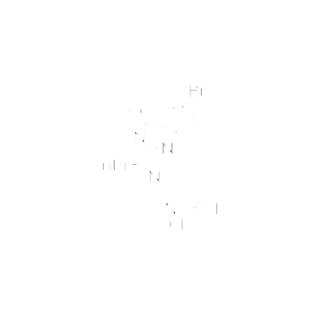 CCC[C@@H](c1nc2ccc(Br)cc2c(=O)n1CC)N1CC[C@H](C)N(C)CC1